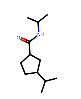 CC(C)NC(=O)C1CCC(C(C)C)C1